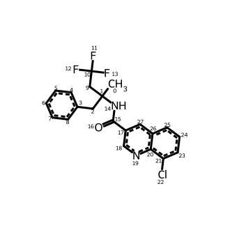 CC(Cc1ccccc1)(CC(F)(F)F)NC(=O)c1cnc2c(Cl)cccc2c1